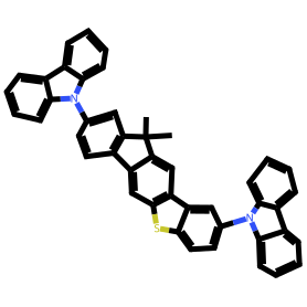 CC1(C)c2cc(-n3c4ccccc4c4ccccc43)ccc2-c2cc3sc4ccc(-n5c6ccccc6c6ccccc65)cc4c3cc21